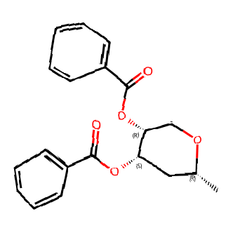 C[C@@H]1C[C@H](OC(=O)c2ccccc2)[C@H](OC(=O)c2ccccc2)[CH]O1